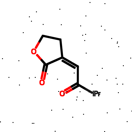 CC(C)C(=O)/C=C1/CCOC1=O